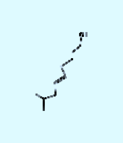 CC(C)C/C=C/CCCCO